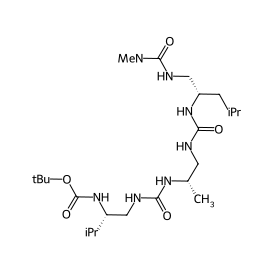 CNC(=O)NC[C@H](CC(C)C)NC(=O)NC[C@H](C)NC(=O)NC[C@@H](NC(=O)OC(C)(C)C)C(C)C